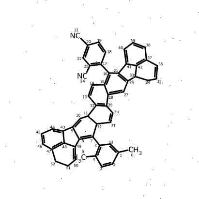 Cc1ccc(C)c(C2=C3C(=CC4c5ccc6c(-c7ccc(C#N)cc7C#N)c7c(cc6c5C=CC24)C2CC=Cc4cccc-7c42)c2cccc4c2C3=CCC4)c1